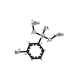 CCCCO[Si](CC)(OCCCC)c1cccc(Br)c1